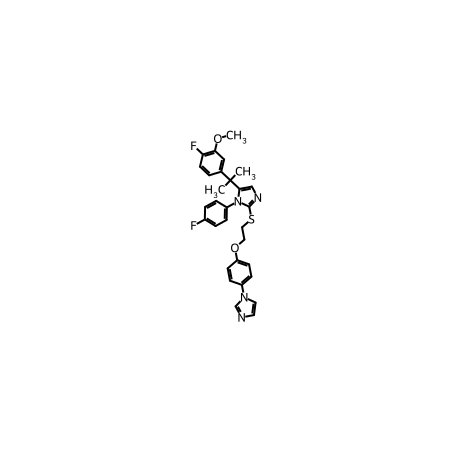 COc1cc(C(C)(C)c2cnc(SCCOc3ccc(-n4ccnc4)cc3)n2-c2ccc(F)cc2)ccc1F